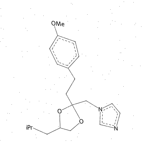 COc1ccc(CCC2(Cn3ccnc3)OCC(CC(C)C)O2)cc1